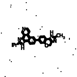 Cc1nc2c([nH]1)-c1ccc(-c3ccc4c(c3)c3ccncc3c3nc(C(C)C)[nH]c43)cc1OC2